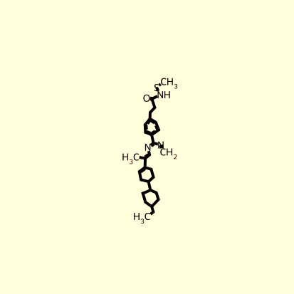 C=N/C(=N\C=C(/C)C1=CCC(C2CCC(CC)CC2)CC1)c1ccc(CCC(=O)NSC)cc1